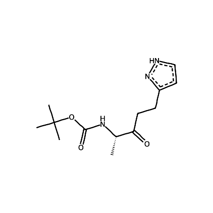 C[C@H](NC(=O)OC(C)(C)C)C(=O)CCc1cc[nH]n1